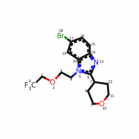 FC(F)(F)COCCn1c(C2CCOCC2)nc2ccc(Br)cc21